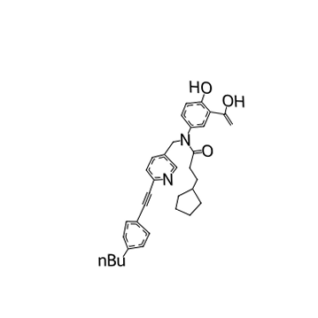 C=C(O)c1cc(N(Cc2ccc(C#Cc3ccc(CCCC)cc3)nc2)C(=O)CCC2CCCC2)ccc1O